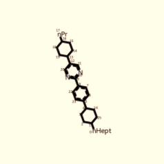 CCCCCCCC1CCC(c2ccc(-c3ncc(C4CCC(CCC)CC4)cn3)cc2)CC1